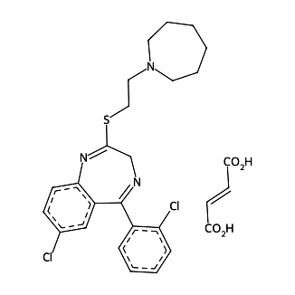 Clc1ccc2c(c1)C(c1ccccc1Cl)=NCC(SCCN1CCCCCC1)=N2.O=C(O)C=CC(=O)O